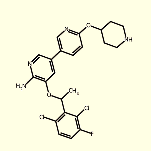 CC(Oc1cc(-c2ccc(OC3CCNCC3)nc2)cnc1N)c1c(Cl)ccc(F)c1Cl